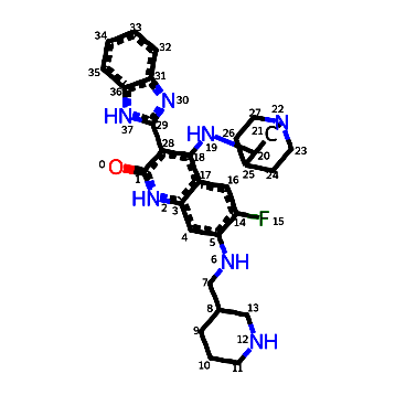 O=c1[nH]c2cc(NCC3CCCNC3)c(F)cc2c(NC2CN3CCC2CC3)c1-c1nc2ccccc2[nH]1